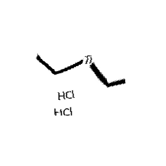 C[CH2][Ti][CH2]C.Cl.Cl